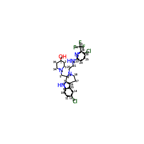 OC1CCN(CC2c3[nH]c4ccc(Cl)cc4c3CCN2CCNc2ccc(Cl)c(C(F)(F)F)n2)CC1